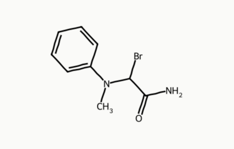 CN(c1ccccc1)C(Br)C(N)=O